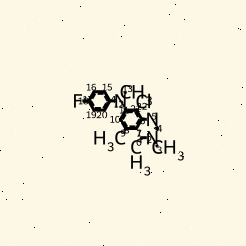 CCN(C)/C=N\c1cc(C)cc(N(C)c2ccc(F)cc2)c1Cl